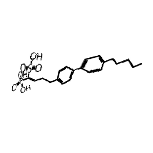 CCCCCc1ccc(-c2ccc(CCC=C(P(=O)(O)O)S(=O)(=O)O)cc2)cc1